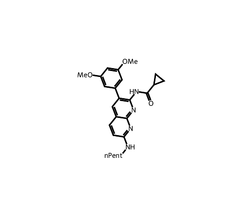 CCCCCNc1ccc2cc(-c3cc(OC)cc(OC)c3)c(NC(=O)C3CC3)nc2n1